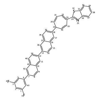 Fc1cc(F)cc(-c2ccc3cc(-c4ccc5cc(C6C=CC=C(c7nc8ccccc8s7)C=C6)ccc5c4)ccc3c2)c1